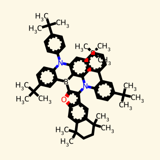 CC(C)(C)c1ccc(N2c3ccc(C(C)(C)C)cc3B3c4oc5cc6c(cc5c4N(c4ccc(C(C)(C)C)cc4-c4ccccc4)c4cc([Si](C)(C)C)cc2c43)C(C)(C)CCC6(C)C)cc1